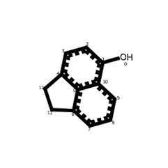 Oc1ccc2c3c(cccc13)CC2